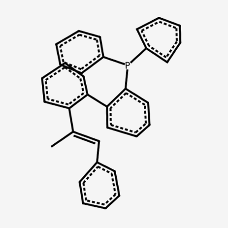 C/C(=C\c1ccccc1)c1ccccc1-c1ccccc1P(c1ccccc1)c1ccccc1